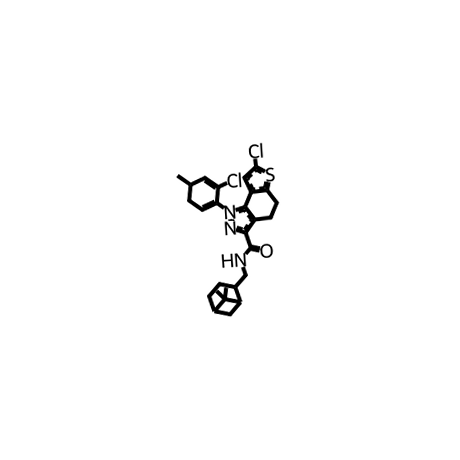 CC1C=C(Cl)C(n2nc(C(=O)NCC3CCC4CC3C4(C)C)c3c2-c2cc(Cl)sc2CC3)=CC1